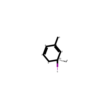 CC1=C[C@@](C)(I)CC=C1